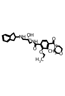 CCOc1c(C(=O)NC[C@@H](O)CNC2Cc3ccccc3C2)ccc(C(=O)N2CCOCC2)c1C